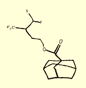 O=C(OCCC(C(F)F)C(F)(F)F)C12CC3CC(CC(C3)C1)C2